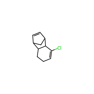 ClC1=CCCC2C3C=CC(C3)C12